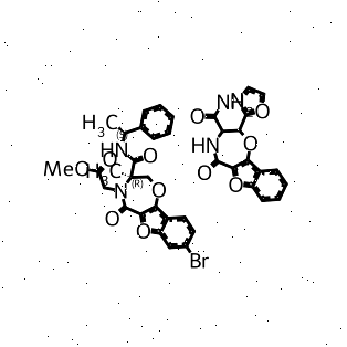 COC(=O)CN1C(=O)c2oc3cc(Br)ccc3c2OC[C@]1(C)C(=O)N[C@@H](C)c1ccccc1.NC(=O)C1NC(=O)c2oc3ccccc3c2OC1c1ncco1